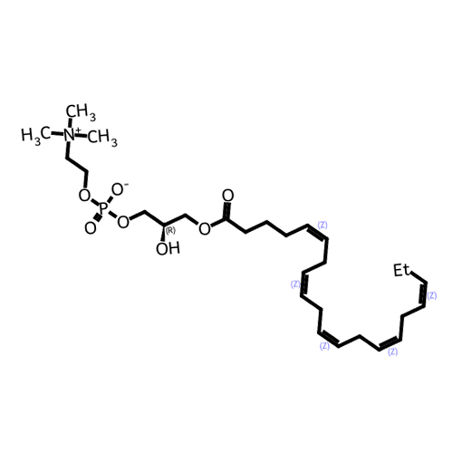 CC/C=C\C/C=C\C/C=C\C/C=C\C/C=C\CCCC(=O)OC[C@@H](O)COP(=O)([O-])OCC[N+](C)(C)C